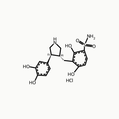 Cl.NS(=O)(=O)c1ccc(O)c(C[C@H]2CNC[C@@H]2c2ccc(O)c(O)c2)c1O